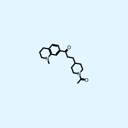 CC(=O)N1CCC(CCC(=O)c2ccc3c(c2)N(C)CCC3)CC1